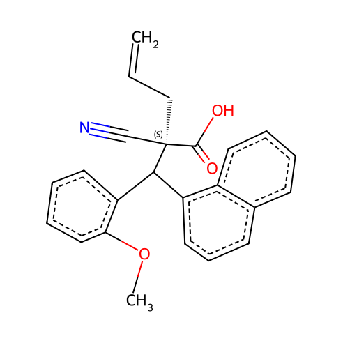 C=CC[C@](C#N)(C(=O)O)C(c1ccccc1OC)c1cccc2ccccc12